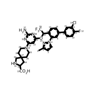 Cc1ccn(-c2cc(-c3ccc(F)c(Cl)c3)ccc2C(Oc2cc(N3CCC4(CC3)CNC(C(=O)O)C4)nc(N)n2)C(F)(F)F)n1